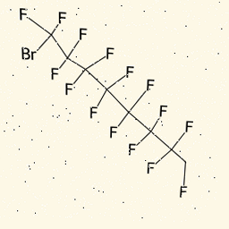 FCC(F)(F)C(F)(F)C(F)(F)C(F)(F)C(F)(F)C(F)(F)C(F)(F)Br